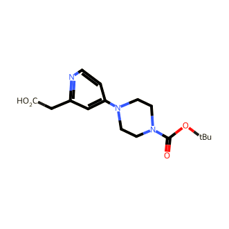 CC(C)(C)OC(=O)N1CCN(c2ccnc(CC(=O)O)c2)CC1